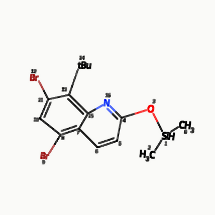 C[SiH](C)Oc1ccc2c(Br)cc(Br)c(C(C)(C)C)c2n1